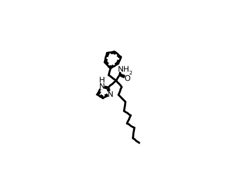 CCCCCCCCCC(Cc1ccccc1)(C(N)=O)c1ncc[nH]1